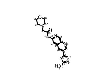 Cc1nnc(-c2cnc3cnc(NC(=O)CN4CCOCC4)cc3c2)s1